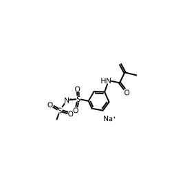 C=C(C)C(=O)Nc1cccc(S(=O)(=O)[N-]S(C)(=O)=O)c1.[Na+]